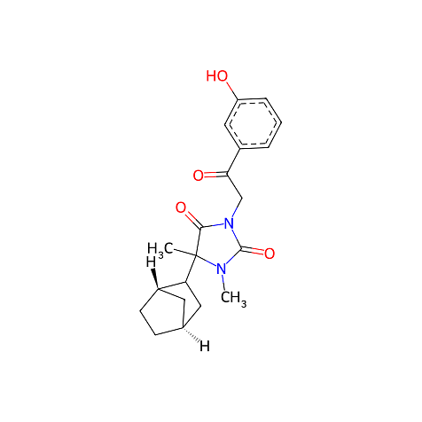 CN1C(=O)N(CC(=O)c2cccc(O)c2)C(=O)C1(C)C1C[C@H]2CC[C@H]1C2